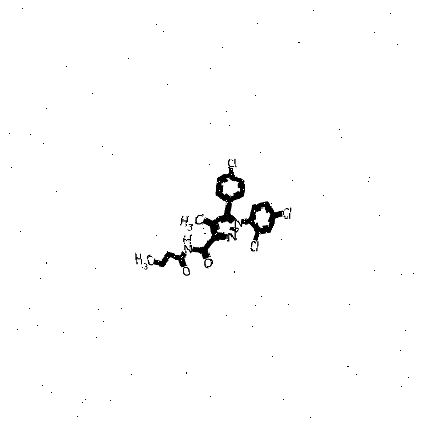 CCCC(=O)NC(=O)c1nn(-c2ccc(Cl)cc2Cl)c(-c2ccc(Cl)cc2)c1C